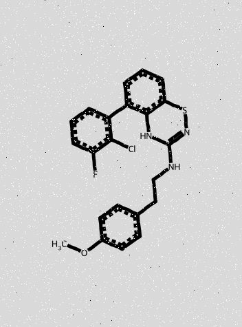 COc1ccc(CCNC2=NSc3cccc(-c4cccc(F)c4Cl)c3N2)cc1